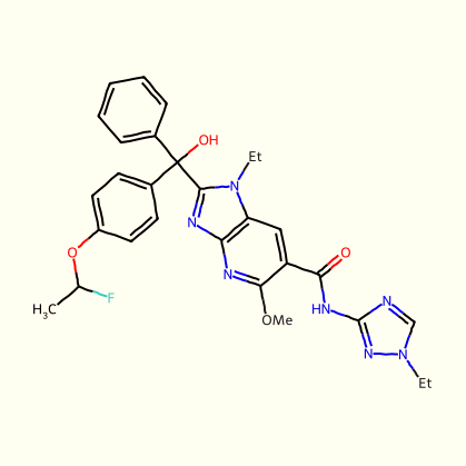 CCn1cnc(NC(=O)c2cc3c(nc2OC)nc(C(O)(c2ccccc2)c2ccc(OC(C)F)cc2)n3CC)n1